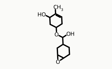 CC1=CCC(OC(O)C2CCC3OC3C2)CC1O